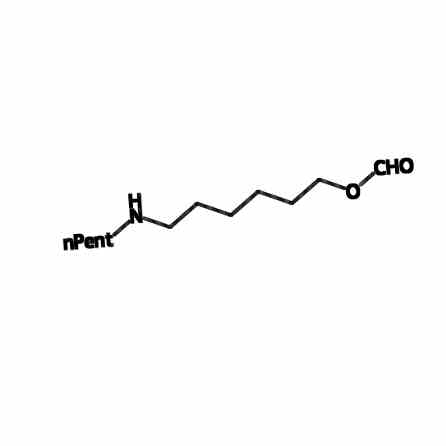 CCCCCNCCCCCCOC=O